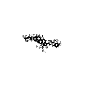 COCC(=O)N(Cc1ccc(Cl)cc1)C[C@H](O)C1C(=O)C(C(C)C)=C2C1CC[C@]1(C)[C@@H]2CC[C@@H]2[C@@]3(C)CC[C@H](OC(=O)CC(C)(C)C(=O)O)C(C)(C)[C@H]3CC[C@]21C